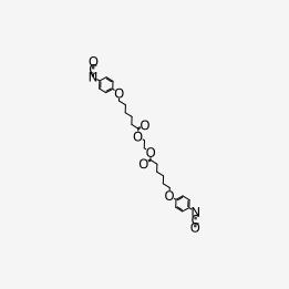 O=C=Nc1ccc(OCCCCCC(=O)OCCOC(=O)CCCCCOc2ccc(N=C=O)cc2)cc1